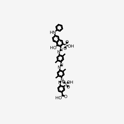 Cc1cc(N=Nc2ccc(C(=O)O)cc2S(=O)(=O)O)c(C)cc1N=Nc1cc(C)c(N=Nc2c(S(=O)(=O)O)cc3cc(Nc4ccccc4)ccc3c2O)cc1C